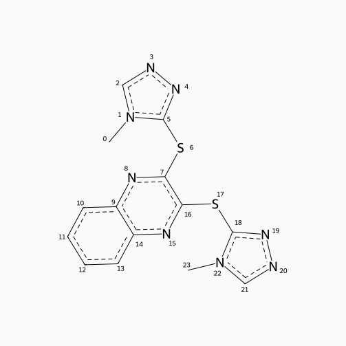 Cn1cnnc1Sc1nc2ccccc2nc1Sc1nncn1C